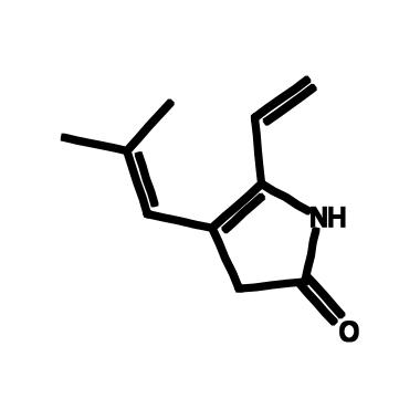 C=CC1=C(C=C(C)C)CC(=O)N1